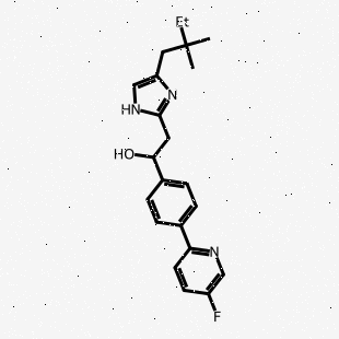 CCC(C)(C)Cc1c[nH]c(CC(O)c2ccc(-c3ccc(F)cn3)cc2)n1